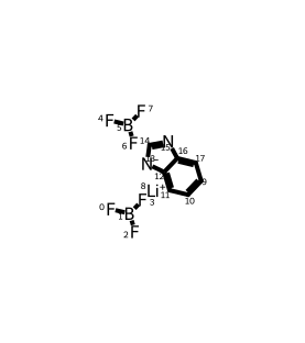 FB(F)F.FB(F)F.[Li+].c1ccc2[n-]cnc2c1